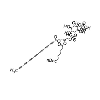 CC#CC#CC#CC#CC#CC#CC#CC(=O)OC[C@H](COP(=O)(O)OC1C(O)[C@@H](O)C(O)[C@@H](OP(=O)(O)O)[C@H]1O)OC(=O)CCCCCCCCCCCCCCC